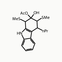 CCCC1c2c([nH]c3ccccc23)C(SC)C(O)(OC(C)=O)C1SC